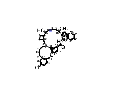 C[C@H]1C/C=C\[C@H](O)C2CCC2CN2CCCCc3cc(Cl)ccc3COc3ccc(cc32)C(=O)NS(=O)(=O)N1Cc1ccccn1